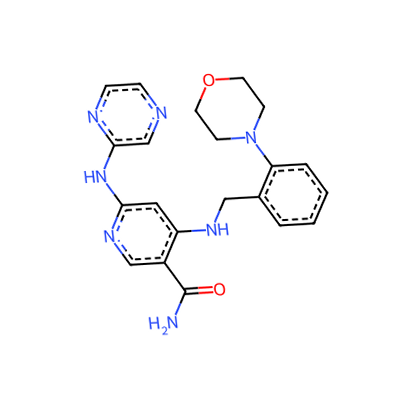 NC(=O)c1cnc(Nc2cnccn2)cc1NCc1ccccc1N1CCOCC1